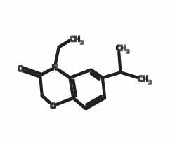 CCN1C(=O)COc2ccc(C(C)C)cc21